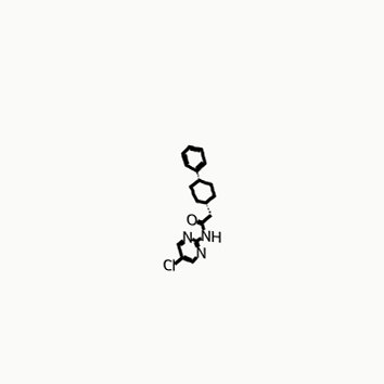 O=C(C[C@H]1CC[C@@H](c2ccccc2)CC1)Nc1ncc(Cl)cn1